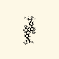 CCN(CC)c1ccc(C(=O)c2cc(C(=O)O)c(C(=O)c3ccc(N(CC)CC)cc3)cc2C(=O)O)cc1